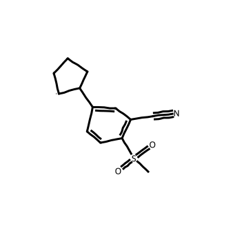 CS(=O)(=O)c1ccc(C2[CH]CCC2)cc1C#N